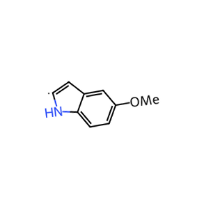 COc1ccc2[nH][c]cc2c1